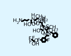 C[C@@H](NC(=O)[C@@H](N)CCN(C(=O)CO)[C@@H](c1nc(-c2cc(F)ccc2F)cn1Cc1ccccc1)C(C)(C)C)C(=O)N[C@@H](CCCCN)C(=O)O.O=C(O)C(F)(F)F